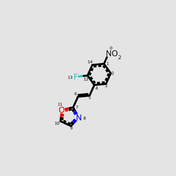 O=[N+]([O-])c1ccc(C=Cc2ncco2)c(F)c1